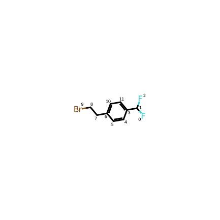 FC(F)c1ccc(CCBr)cc1